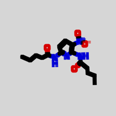 CCCCC(=O)Nc1ccc([N+](=O)[O-])c(NC(=O)CCCC)n1